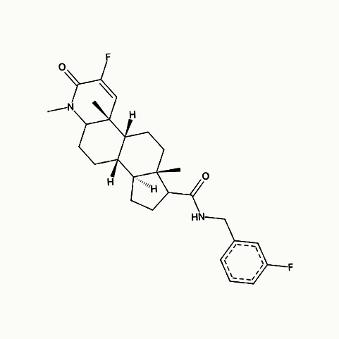 CN1C(=O)C(F)=C[C@@]2(C)C1CC[C@@H]1[C@H]2CC[C@]2(C)C(C(=O)NCc3cccc(F)c3)CC[C@@H]12